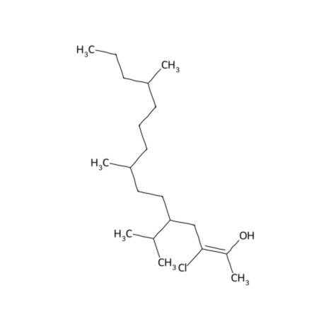 CCCC(C)CCCC(C)CCC(C/C(Cl)=C(/C)O)C(C)C